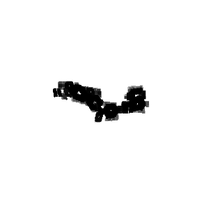 CC1(O)CCC(C2(O)CCN(C(=O)c3ccc(NSc4cccc5nccnc45)cc3)CC2)CC1